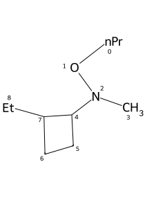 CCCON(C)C1CCC1CC